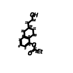 CCC(=O)Oc1cccc2c1CCC(CCO)C2